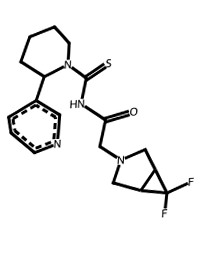 O=C(CN1CC2C(C1)C2(F)F)NC(=S)N1CCCCC1c1cccnc1